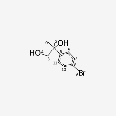 CC(O)(CO)c1ccc(Br)cc1